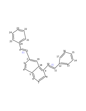 C(=C\c1ccc2cccc(/C=C/c3ccccc3)c2c1)/c1ccccc1